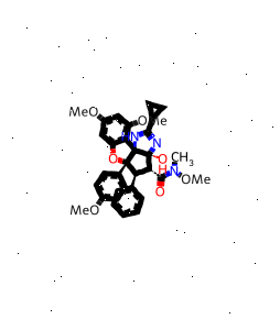 COc1ccc([C@@]23Oc4cc(OC)cc(OC)c4[C@@]24NC(C2CC2)=N[C@@]4(O)[C@H](C(=O)N(C)OC)[C@H]3c2ccccc2)cc1